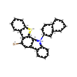 Brc1cc2c3ccccc3n(-c3ccc4ccccc4c3)c2c2sc3ccccc3c12